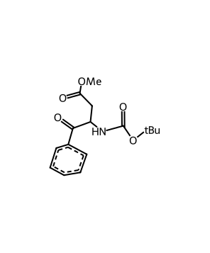 COC(=O)CC(NC(=O)OC(C)(C)C)C(=O)c1ccccc1